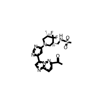 CC(=O)c1ccc2ncc(-c3cc(N4C[C@@H](CNS(C)(=O)=O)C(F)(F)[C@@H](C)C4)ncn3)n2n1